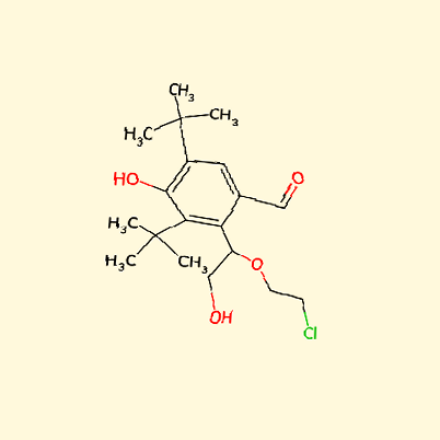 CC(C)(C)c1cc(C=O)c(C(CO)OCCCl)c(C(C)(C)C)c1O